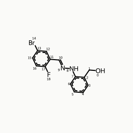 OCc1ccccc1NN=Cc1cc(Br)ccc1F